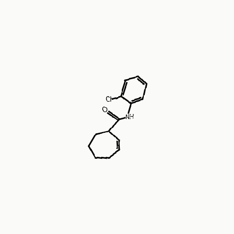 O=C(Nc1ccccc1Cl)C1C=CCCCC1